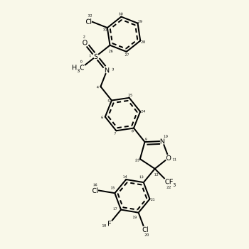 CS(=O)(=NCc1ccc(C2=NOC(c3cc(Cl)c(F)c(Cl)c3)(C(F)(F)F)C2)cc1)c1ccccc1Cl